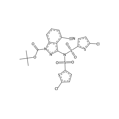 CC(C)(C)OC(=O)n1nc(N(S(=O)(=O)c2ccc(Cl)s2)S(=O)(=O)c2ccc(Cl)s2)c2c(C#N)cccc21